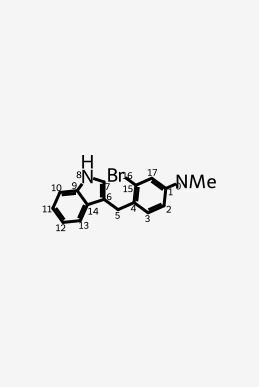 CNc1ccc(Cc2c[nH]c3ccccc23)c(Br)c1